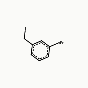 CCCc1cccc(CI)c1